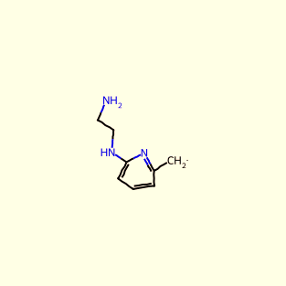 [CH2]c1cccc(NCCN)n1